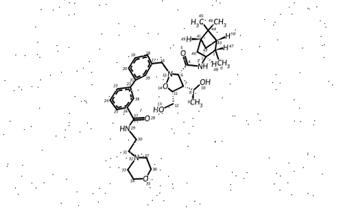 C[C@@H]1[C@@H](NC(=O)[C@@H]2[C@H]([C@H](C)O)[C@H](CO)ON2Cc2cccc(-c3cccc(C(=O)NCCN4CCOCC4)c3)c2)C[C@H]2C[C@@H]1C2(C)C